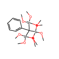 CO[Si](OC)(OC)C(c1ccccc1)([Si](OC)(OC)OC)[Si](OC)(OC)OC